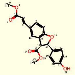 CC(C)OC(=O)/C=C/c1ccc2c(c1)[C@@H](C(=O)OC(C)C)[C@H](c1ccc(O)cc1)O2